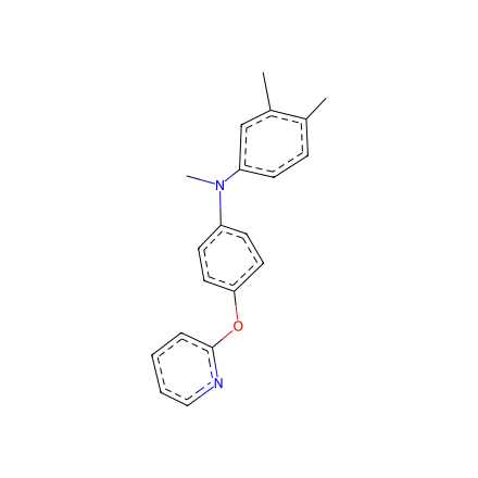 Cc1ccc(N(C)c2ccc(Oc3ccccn3)cc2)cc1C